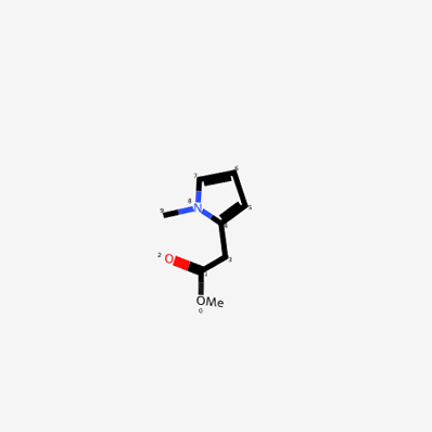 COC(=O)Cc1cccn1C